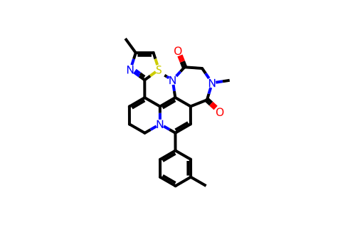 Cc1cccc(C2=CC3C(=O)N(C)CC(=O)N(C)C3=C3C(c4nc(C)cs4)=CCCN23)c1